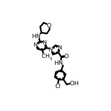 Cc1cnc(NC2CCOCC2)nc1-n1cnc(C(=O)NCc2ccc(Cl)c(CO)c2)c1